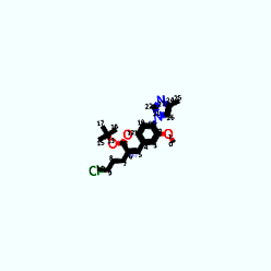 COc1cc(/C=C(/CCCCl)C(=O)OC(C)(C)C)ccc1-n1cnc(C)c1